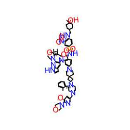 COc1cc(CN2CCN(C3CC4(CCN(c5ccc(C(=O)NS(=O)(=O)c6ccc(NCC7CCC(C)(O)CC7)c([N+](=O)[O-])c6)c(N6CC[C@@H]7COCCN7c7nc8[nH]ccc8cc76)c5)CC4)C3)[C@H](c3ccccc3C)C2)cnc1N1CCOCC1